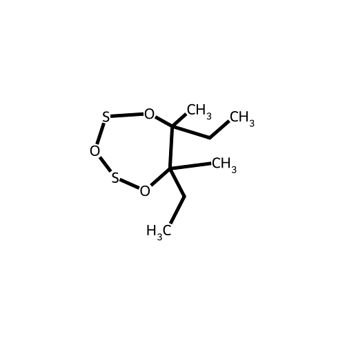 CCC1(C)OSOSOC1(C)CC